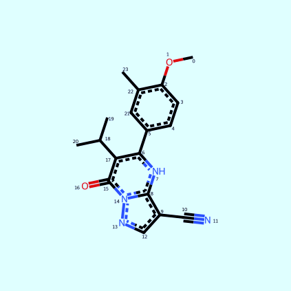 COc1ccc(-c2[nH]c3c(C#N)cnn3c(=O)c2C(C)C)cc1C